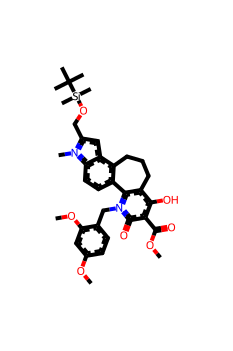 COC(=O)c1c(O)c2c(n(Cc3ccc(OC)cc3OC)c1=O)-c1ccc3c(cc(CO[Si](C)(C)C(C)(C)C)n3C)c1CCC2